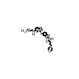 COCCNc1ccc2nnc(Sc3ccc4nc(NC(=O)CCCN5CCOCC5)sc4c3)n2n1